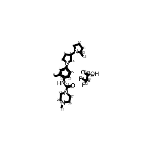 Cc1cc(N2CCC(N3CCCC3C)C2)ccc1NC(=O)N1CCN(C)CC1.O=C(O)C(F)(F)F